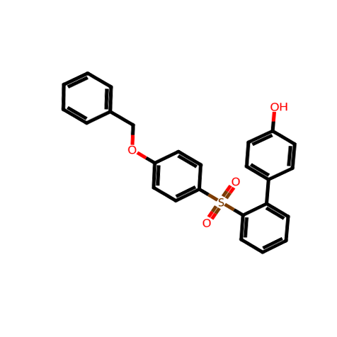 O=S(=O)(c1ccc(OCc2ccccc2)cc1)c1ccccc1-c1ccc(O)cc1